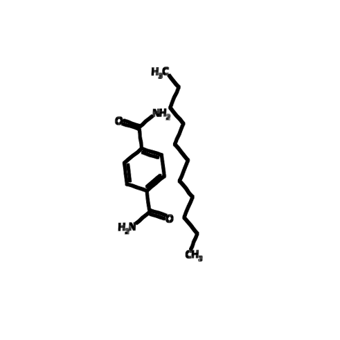 CCCCCCCCCCC.NC(=O)c1ccc(C(N)=O)cc1